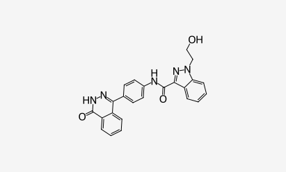 O=C(Nc1ccc(-c2n[nH]c(=O)c3ccccc23)cc1)c1nn(CCO)c2ccccc12